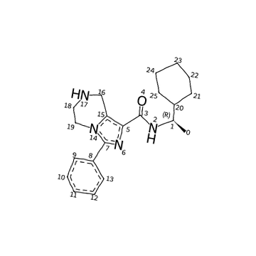 C[C@@H](NC(=O)c1nc(-c2ccccc2)n2c1CNCC2)C1CCCCC1